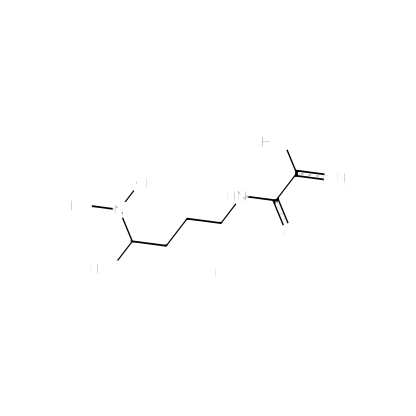 C=C(C)C(=O)NCCCC(C)N(C)C.F